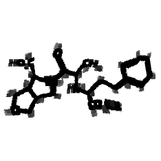 CCOC(=O)[C@H](CCc1ccccc1)NC(C)C(=O)N1CC2COCC2[C@H]1C(=O)O